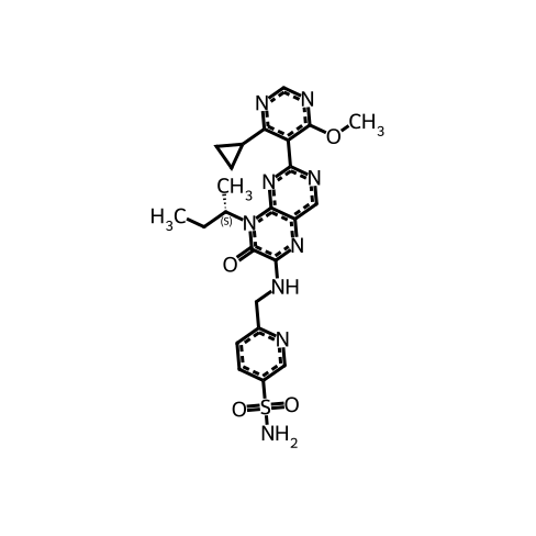 CC[C@H](C)n1c(=O)c(NCc2ccc(S(N)(=O)=O)cn2)nc2cnc(-c3c(OC)ncnc3C3CC3)nc21